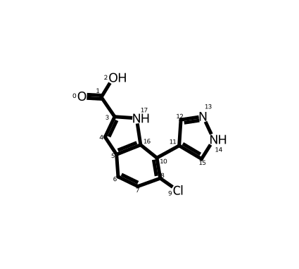 O=C(O)c1cc2ccc(Cl)c(-c3cn[nH]c3)c2[nH]1